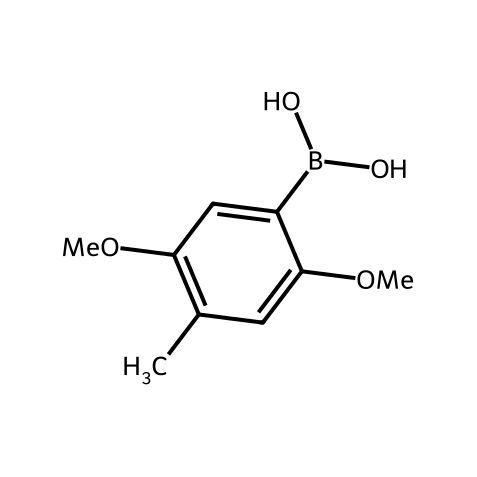 COc1cc(B(O)O)c(OC)cc1C